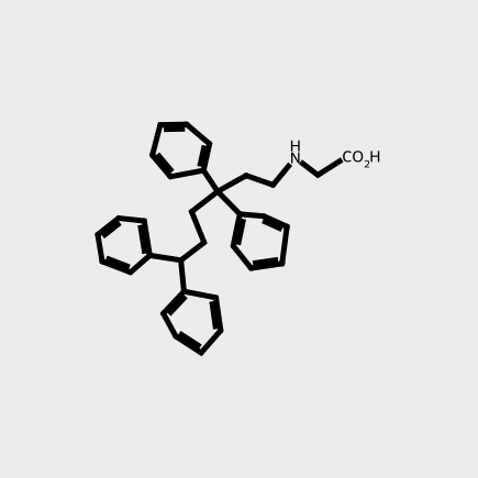 O=C(O)CNCCC(CCC(c1ccccc1)c1ccccc1)(c1ccccc1)c1ccccc1